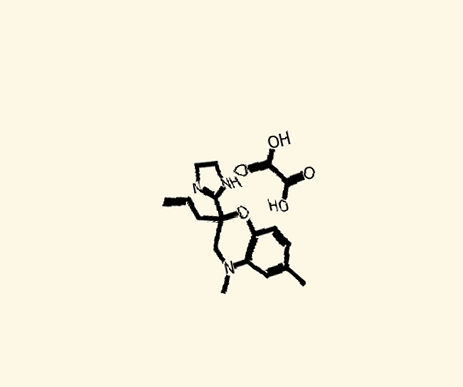 C=CCC1(C2=NCCN2)CN(C)c2cc(C)ccc2O1.O=C(O)C(=O)O